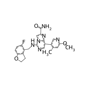 COc1cc(C)c(-c2cnc(NCc3c(F)ccc4c3CCO4)n3cc(C(N)=O)nc23)cn1